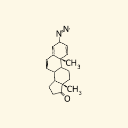 C[C@]12C=CC(N=[N])C=C1C=CC1C2CC[C@]2(C)C(=O)CCC12